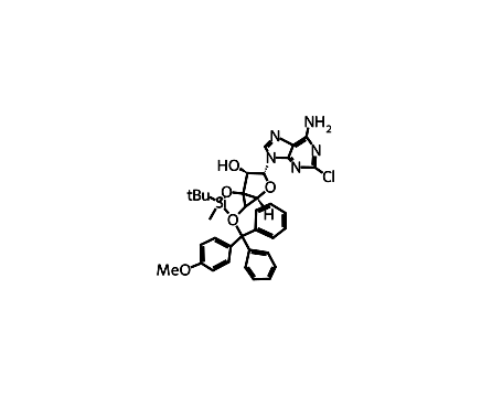 COc1ccc(C(OC2[C@H]3O[C@@H](n4cnc5c(N)nc(Cl)nc54)[C@H](O)C23O[Si](C)(C)C(C)(C)C)(c2ccccc2)c2ccccc2)cc1